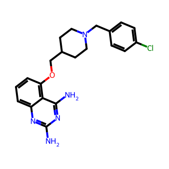 Nc1nc(N)c2c(OCC3CCN(Cc4ccc(Cl)cc4)CC3)cccc2n1